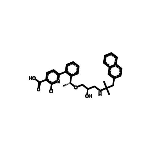 C[C@@H](OC[C@H](O)CNC(C)(C)Cc1ccc2ccccc2c1)c1ccccc1-c1ccc(C(=O)O)c(Cl)n1